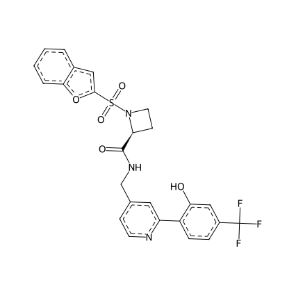 O=C(NCc1ccnc(-c2ccc(C(F)(F)F)cc2O)c1)[C@@H]1CCN1S(=O)(=O)c1cc2ccccc2o1